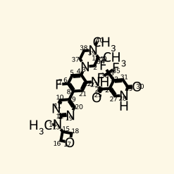 C[C@@H]1CN(c2cc(F)c(-c3cnc(N(C)C4COC4)nc3)cc2NC(=O)c2c[nH]c(=O)cc2C(F)(F)F)CCN1C